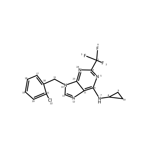 FC(F)(F)c1nc(NC2CC2)c2ncn(Cc3ccccc3Cl)c2n1